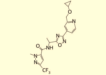 CC(NC(=O)c1cc(C(F)(F)F)nn1C)c1nc(-c2ccnc(COC3CC3)c2)no1